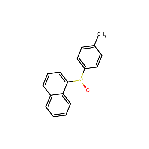 Cc1ccc([S@@+]([O-])c2cccc3ccccc23)cc1